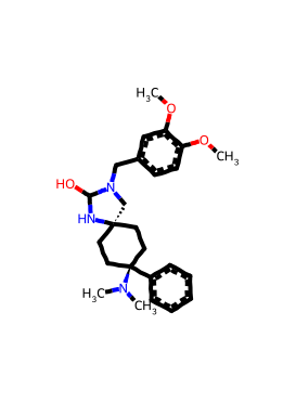 COc1ccc(CN2C[C@]3(CC[C@](c4ccccc4)(N(C)C)CC3)NC2O)cc1OC